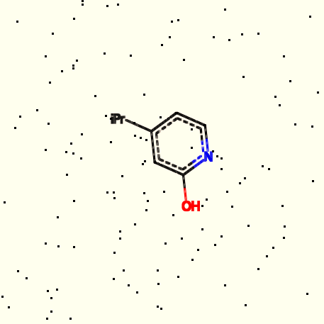 [CH2]C(C)c1ccnc(O)c1